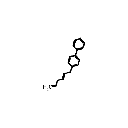 C=CCC=CCc1ccc(-c2cc[c]cc2)cc1